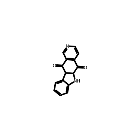 O=C1c2ccncc2C(=O)C2c3ccccc3NC12